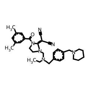 CCN(Cc1ccc(CN2CCCCC2)cc1)CN1CCN(C(=O)c2cc(C)cc(C)c2)C1=C(C#N)C#N